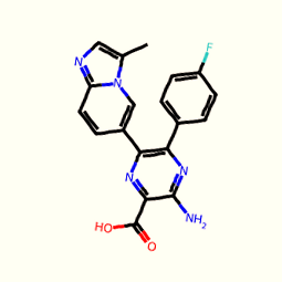 Cc1cnc2ccc(-c3nc(C(=O)O)c(N)nc3-c3ccc(F)cc3)cn12